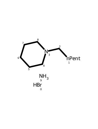 Br.CCCCCCN1CCCCC1.N